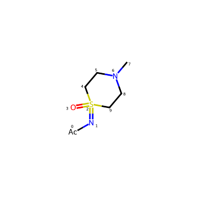 CC(=O)N=S1(=O)CCN(C)CC1